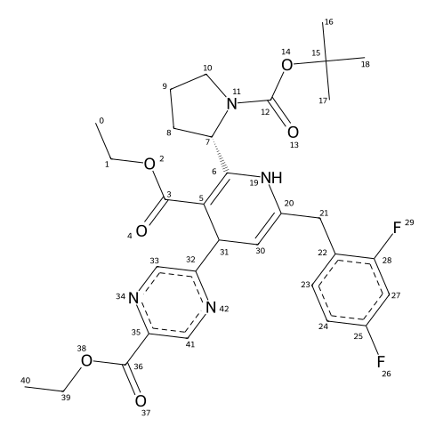 CCOC(=O)C1=C([C@@H]2CCCN2C(=O)OC(C)(C)C)NC(Cc2ccc(F)cc2F)=CC1c1cnc(C(=O)OCC)cn1